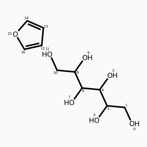 OCC(O)C(O)C(O)C(O)CO.c1ccoc1